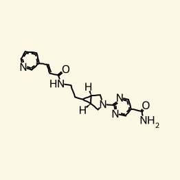 NC(=O)c1cnc(N2C[C@@H]3C(CCNC(=O)/C=C/c4cccnc4)[C@@H]3C2)nc1